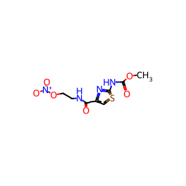 COC(=O)Nc1nc(C(=O)NCCO[N+](=O)[O-])cs1